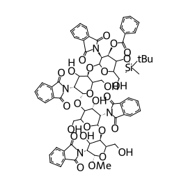 CO[C@H]1OC(CO)[C@H](OC2OC(CO)C(O[C@H]3OC(CO)[C@H](OC4OC(CO)C(O[Si](C)(C)C(C)(C)C)[C@H](OC(=O)c5ccccc5)[C@@H]4N4C(=O)c5ccccc5C4=O)C(O)[C@H]3N3C(=O)c4ccccc4C3=O)[C@H](O)[C@@H]2N2C(=O)c3ccccc3C2=O)C(O)[C@H]1N1C(=O)c2ccccc2C1=O